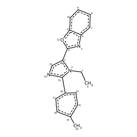 CCn1c(-c2nc3ccccc3o2)cnc1-c1ccc(C)cc1